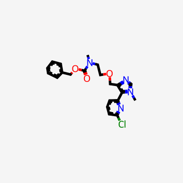 CN(CCOCc1ncn(C)c1-c1cccc(Cl)n1)C(=O)OCc1ccccc1